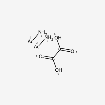 CC(N)=O.CC(N)=O.O=C(O)C(=O)O